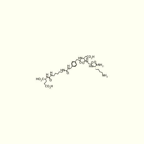 NCCCC[C@H](NC(=O)CNC(=O)C(CC(=O)O)NC(=O)Cc1ccc(CNC(=O)NCCCCCNC(=O)N[C@@H](CCC(=O)O)C(=O)O)cc1)C(N)=O